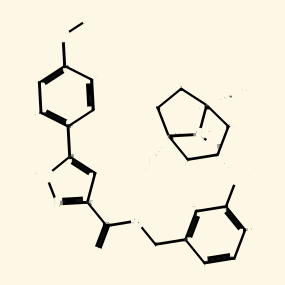 COc1ccc(-c2cc(C(=O)NCc3cccc(O[C@@H]4C[C@H]5CC[C@@H](C4)N5C)c3)no2)cc1